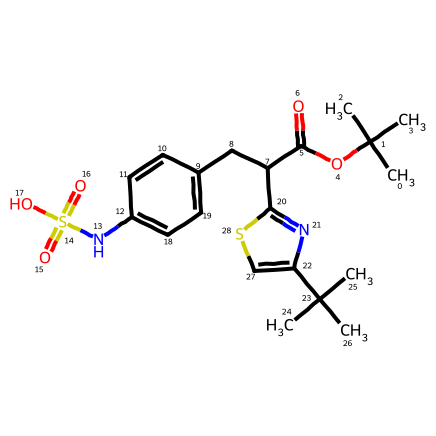 CC(C)(C)OC(=O)C(Cc1ccc(NS(=O)(=O)O)cc1)c1nc(C(C)(C)C)cs1